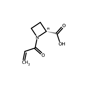 C=CC(=O)N1CC[C@@H]1C(=O)O